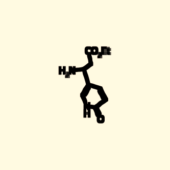 CCOC(=O)CC(N)c1ccc(=O)[nH]c1